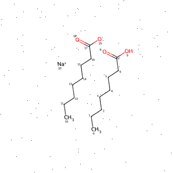 CCCCCCCC(=O)O.CCCCCCCC(=O)[O-].[Na+]